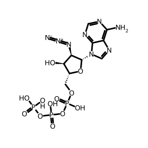 [N-]=[N+]=N[C@@H]1[C@H](O)[C@@H](COP(=O)(O)OP(=O)(O)OP(=O)(O)O)O[C@H]1n1cnc2c(N)ncnc21